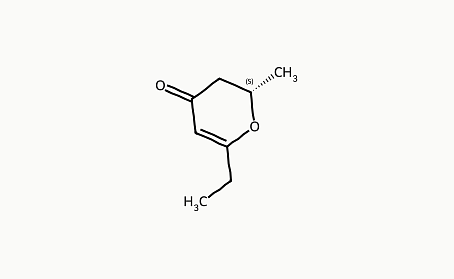 CCC1=CC(=O)C[C@H](C)O1